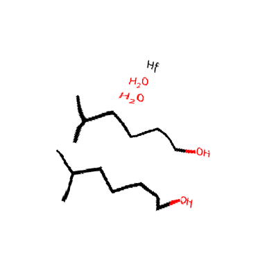 CC(C)CCCCO.CC(C)CCCCO.O.O.[Hf]